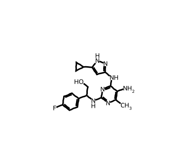 Cc1nc(NC(CO)c2ccc(F)cc2)nc(Nc2cc(C3CC3)[nH]n2)c1N